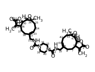 C=C1C(=O)O[C@H]2C1CC/C(CNC(=O)N1CCN(C(=O)NC/C3=C/CC[C@@]4(C)O[C@H]4[C@H]4OC(=O)C(=C)C4CC3)CC1)=C\CC[C@@]1(C)O[C@@H]21